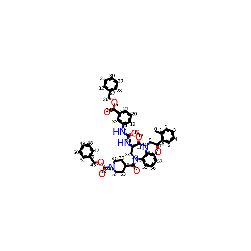 Cc1ccccc1C(=O)CN1C(=O)C(NC(=O)Nc2cccc(C(=O)OCc3ccccc3)c2)CN(C(=O)C2CCN(C(=O)OCc3ccccc3)CC2)c2ccccc21